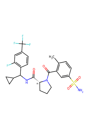 Cc1ccc(S(N)(=O)=O)cc1C(=O)N1CCC[C@@H]1C(=O)NC(c1ccc(C(F)(F)F)cc1F)C1CC1